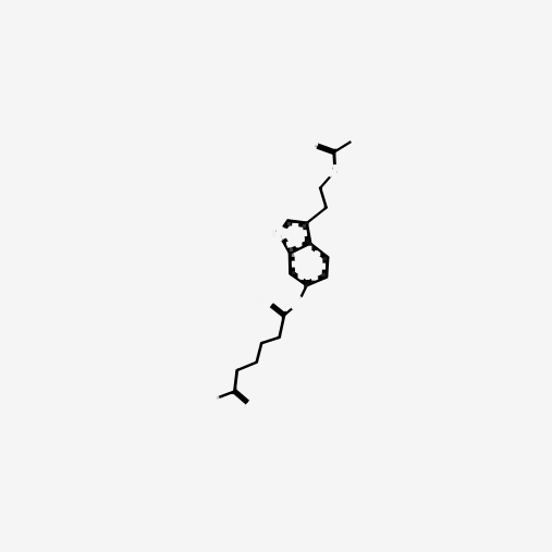 CC(=O)NCCc1c[nH]c2cc(OC(=O)CCCCC(=O)O)ccc12